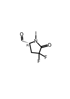 O=C[C@H]1CC(F)(F)C(=O)N1I